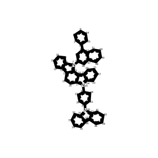 c1ccc(-c2cc(-n3c4ccccc4c4ccc5c(c6ccccc6n5-c5ccc(-n6c7ccccc7c7ccccc76)cc5)c43)cc3ccccc23)cc1